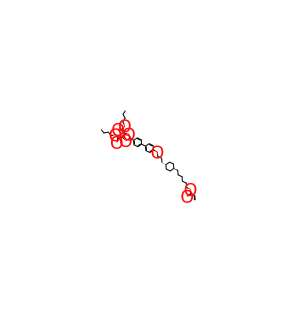 C=CC(=O)OCCCCCC[C@H]1CC[C@H](CCCOc2ccc(-c3ccc(C4O[C@@H](C(=O)OCCCC)[C@H](C(=O)OCCCC)O4)cc3)cc2)CC1